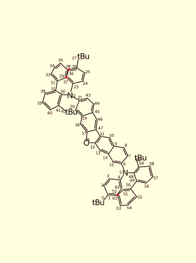 CC(C)(C)c1ccc(N(c2ccc3cc4c(cc3c2)oc2cc3cc(N(c5ccc(C(C)(C)C)cc5)c5c(-c6ccccc6)cccc5C(C)(C)C)ccc3cc24)c2c(-c3ccccc3)cccc2C(C)(C)C)cc1